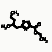 CCCC(C)Cc1nc(C(=O)OCC)cs1